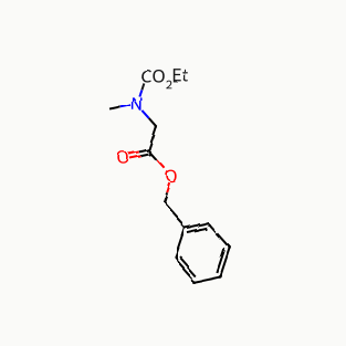 C[CH]OC(=O)N(C)CC(=O)OCc1ccccc1